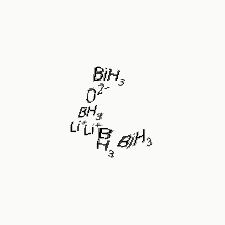 B.B.[BiH3].[BiH3].[Li+].[Li+].[O-2]